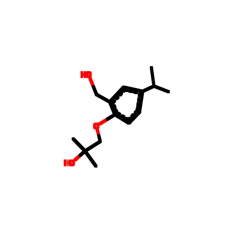 CC(C)c1ccc(OCC(C)(C)O)c(CO)c1